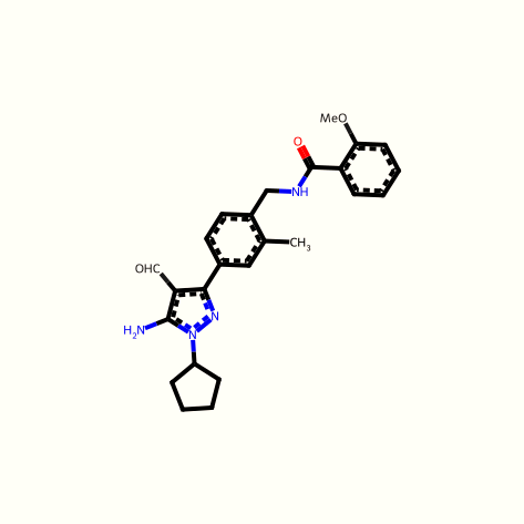 COc1ccccc1C(=O)NCc1ccc(-c2nn(C3CCCC3)c(N)c2C=O)cc1C